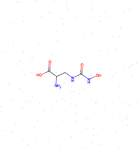 NC(CNC(=O)NO)C(=O)O